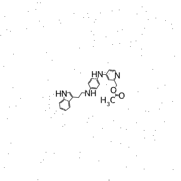 CC(=O)OCc1cc(Nc2ccc(NCCc3c[nH]c4ccccc34)cc2)ccn1